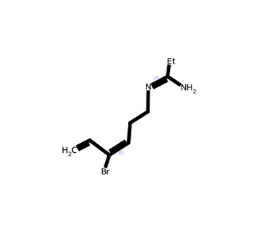 C=C/C(Br)=C\CC/N=C(\N)CC